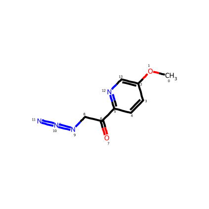 COc1ccc(C(=O)CN=[N+]=[N-])nc1